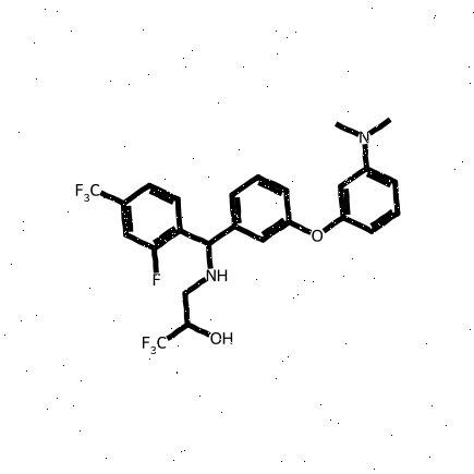 CN(C)c1cccc(Oc2cccc(C(NCC(O)C(F)(F)F)c3ccc(C(F)(F)F)cc3F)c2)c1